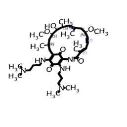 CO[C@H]1C[C@H](C)CC2=C(NCCCN(C)C)C(=O)C(NCCCN(C)C)=C(NC(=O)/C(C)=C/C=C\[C@@H](OC)[CH]/C(C)=C/[C@H](C)[C@H]1O)C2=O